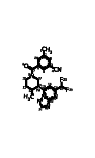 Cc1cc(C#N)cc(C(=O)N2CCC(C)[C@H](c3cc(C(F)F)nc4ncnn34)C2)c1